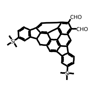 C[Si](C)(C)c1ccc2c(c1)C1Cc3cc4c5cc([Si](C)(C)C)ccc5c5cc6c(C=O)c(C=O)c7cc-2c1c1c3c(c45)c6c71